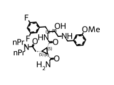 CCCN(CCC)C(=O)C[C@H]1[C@@H](C(N)=O)[C@H]1C(=O)N[C@@H](Cc1cc(F)cc(F)c1)[C@H](O)CNCc1cccc(OC)c1